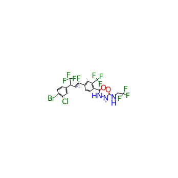 CN(NC(=O)c1ccc(/C(F)=C/C(c2ccc(Br)c(Cl)c2)C(F)(F)F)cc1C(F)(F)F)C(=O)NCC(F)(F)F